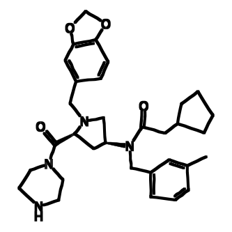 Cc1cccc(CN(C(=O)CC2CCCC2)[C@H]2C[C@@H](C(=O)N3CCNCC3)N(Cc3ccc4c(c3)OCO4)C2)c1